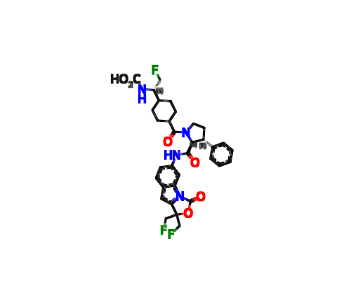 O=C(O)N[C@H](CF)C1CCC(C(=O)N2CC[C@H](c3ccccc3)[C@H]2C(=O)Nc2ccc3cc4n(c3c2)C(=O)OC4(CF)CF)CC1